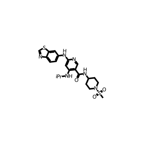 CC(C)Nc1cc(Nc2ccc3ncsc3c2)ncc1C(=O)NC1CCN(S(C)(=O)=O)CC1